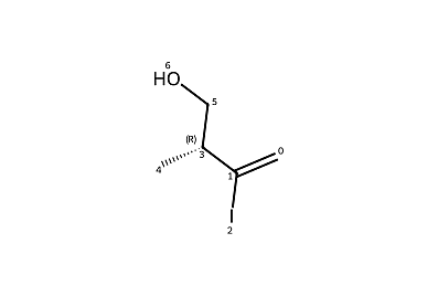 C=C(I)[C@H](C)CO